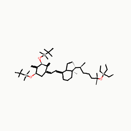 C=C1/C(=C\C=C2CCC[C@@]3(C)C2CC[C@@H]3[C@@H](C)CCCC(C)(C)O[Si](CC)(CC)CC)C[C@@H](O[Si](C)(C)C(C)(C)C)C(=C)[C@H]1O[Si](C)(C)C(C)(C)C